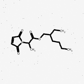 CCCCC(CC)COC(=O)C(C)N1C(=O)C=CC1=O